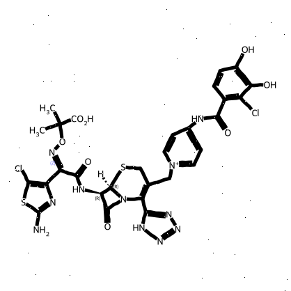 CC(C)(O/N=C(\C(=O)N[C@@H]1C(=O)N2C(c3nnn[nH]3)=C(C[n+]3ccc(NC(=O)c4ccc(O)c(O)c4Cl)cc3)CS[C@H]12)c1nc(N)sc1Cl)C(=O)O